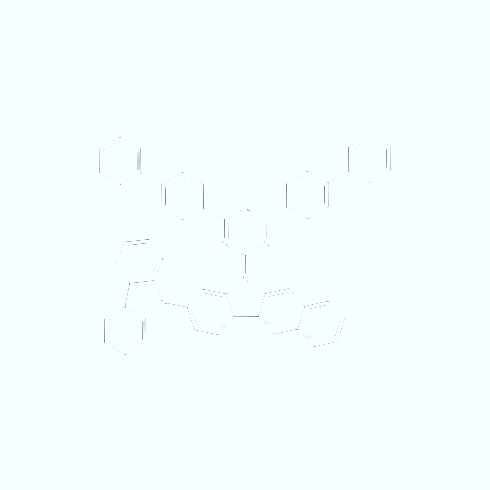 c1ccc(-c2ccc(-c3nc(-c4ccc(-c5ccccc5)cc4)nc(-n4c5cc(-n6c7ccccc7c7ccccc76)ccc5c5cc6ccccc6cc54)n3)cc2)cc1